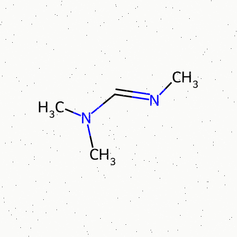 CN=CN(C)C